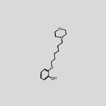 Oc1ccccc1OCCCCCCN1CCOCC1